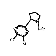 CNN1CCCC1c1cnc(Cl)c(Cl)c1